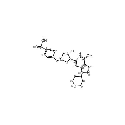 C[C@H]1CN(Cc2ccc(C(=O)O)cc2)C[C@@H]1c1nc2c(cnn2C2CCOCC2)c(=O)[nH]1